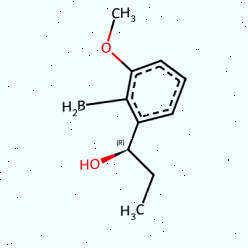 Bc1c(OC)cccc1[C@H](O)CC